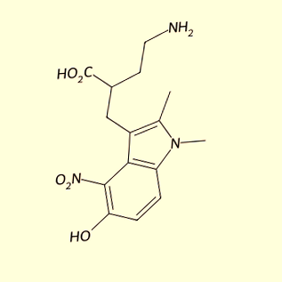 Cc1c(CC(CCN)C(=O)O)c2c([N+](=O)[O-])c(O)ccc2n1C